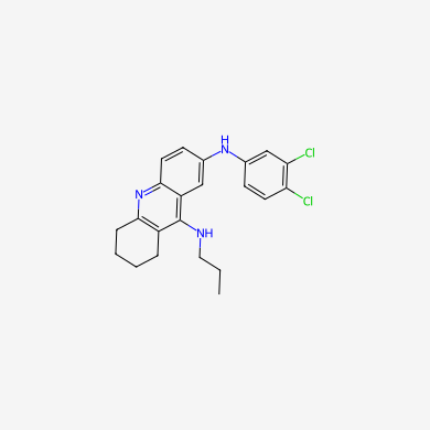 CCCNc1c2c(nc3ccc(Nc4ccc(Cl)c(Cl)c4)cc13)CCCC2